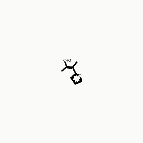 CC(C=O)=C(C)c1ccco1